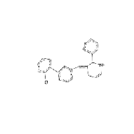 Clc1ccccc1-c1cccc(C=C2CC=CNC2c2cccnc2)c1